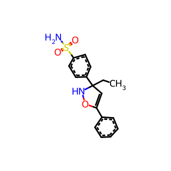 CCC1(c2ccc(S(N)(=O)=O)cc2)C=C(c2ccccc2)ON1